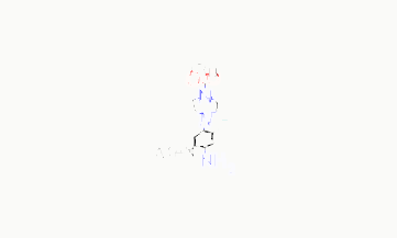 CNc1cc(N2CCN(C(=O)OC(C)(C)C)CC2)c(F)cc1N